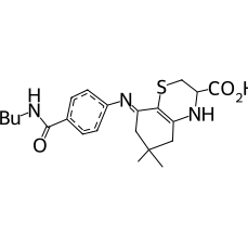 CC1(C)CC(=Nc2ccc(C(=O)NC(C)(C)C)cc2)C2=C(C1)NC(C(=O)O)CS2